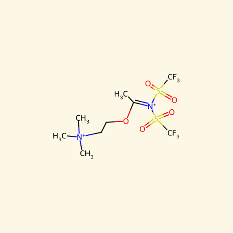 CC(OCC[N+](C)(C)C)=[N+](S(=O)(=O)C(F)(F)F)S(=O)(=O)C(F)(F)F